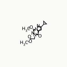 COC(=O)Cn1nc(OC)n2nc(C3CC3)cc2c1=O